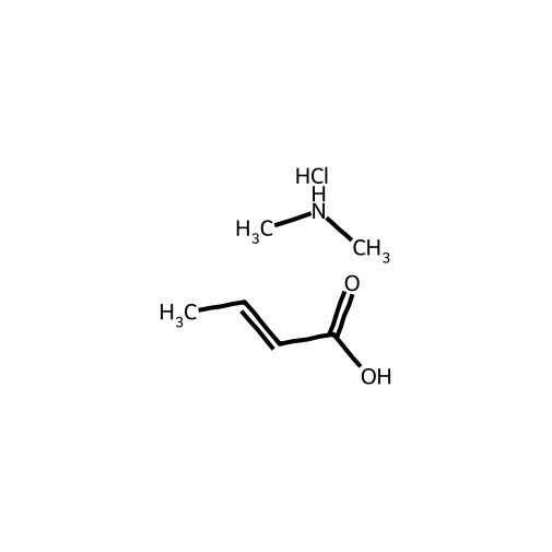 CC=CC(=O)O.CNC.Cl